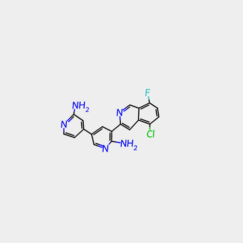 Nc1cc(-c2cnc(N)c(-c3cc4c(Cl)ccc(F)c4cn3)c2)ccn1